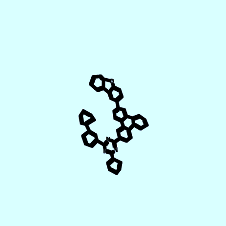 c1ccc(-c2cccc(-c3nc(-c4ccccc4)nc(-c4ccc5c6ccccc6c6cc(-c7ccc8oc9ccccc9c8c7)ccc6c5c4)n3)c2)cc1